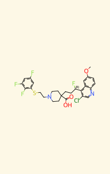 COc1ccc2ncc(Cl)c([C@H](F)CCC3(C(=O)O)CCN(CCSc4cc(F)cc(F)c4F)CC3)c2c1